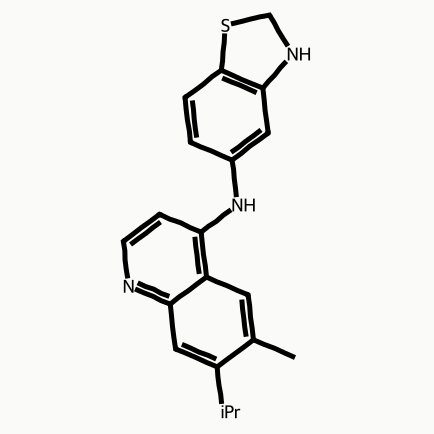 Cc1cc2c(Nc3ccc4c(c3)NCS4)ccnc2cc1C(C)C